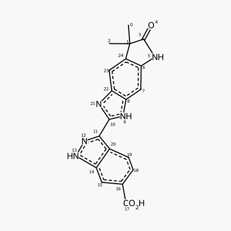 CC1(C)C(=O)Nc2cc3[nH]c(-c4n[nH]c5cc(C(=O)O)ccc45)nc3cc21